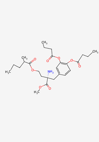 CCCC(=O)Oc1ccc(C[C@](N)(CCOC(=O)C(C)CCC)C(=O)OC)cc1OC(=O)CCC